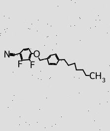 CCCCCCCc1ccc(COc2ccc(C#N)c(F)c2F)cc1